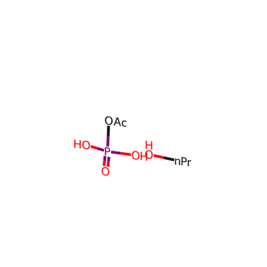 CC(=O)OP(=O)(O)O.CCCO